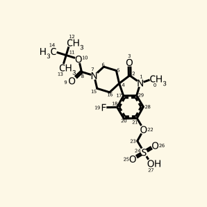 CN1C(=O)C2(CCN(C(=O)OC(C)(C)C)CC2)c2c(F)cc(OCS(=O)(=O)O)cc21